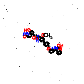 COc1cc(-c2ccc(COc3cccc([C@@H](NC(=O)O)c4ccccc4)c3)cc2)ccc1CNCC(O)c1ccc(O)c2[nH]c(=O)ccc12